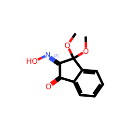 COC1(OC)/C(=N/O)C(=O)c2ccccc21